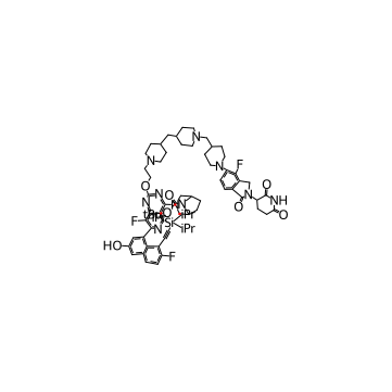 CC(C)[Si](C#Cc1c(F)ccc2cc(O)cc(-c3ncc4c(N5CC6CCC(C5)N6C(=O)OC(C)(C)C)nc(OCCN5CCC(CC6CCN(CC7CCN(c8ccc9c(c8F)CN(C8CCC(=O)NC8=O)C9=O)CC7)CC6)CC5)nc4c3F)c12)(C(C)C)C(C)C